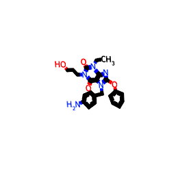 CCn1c(=O)n(CCCO)c(=O)c2c1nc(Oc1ccccc1)n2Cc1ccc(N)cc1